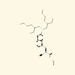 CCCCC(CC)CN(CC(CC)CCCC)c1cc2scc(/C=C(\C#N)C(=O)OCC)c2s1